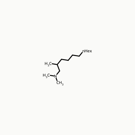 CCCCCCCCCCC(C)CN(C)C